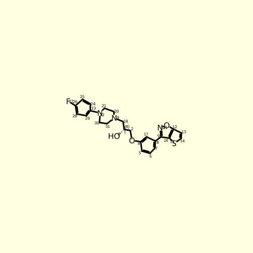 O[C@@H](COc1cccc(-c2noc3ccsc23)c1)CN1CCN(c2ccc(F)cc2)CC1